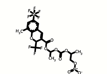 Cc1cc(S(F)(F)(F)(F)F)cc2c1OC(C(F)(F)F)C(C(=O)OC(C)OC(=O)OC(C)CO[N+](=O)[O-])=C2